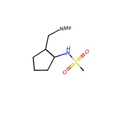 CNCC1CCCC1NS(C)(=O)=O